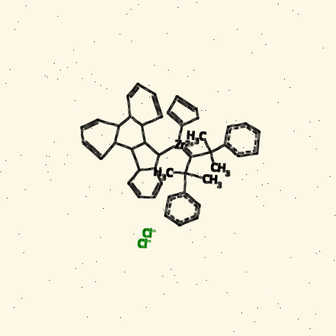 CC(C)([C](=[Zr+2]([C]1=CC=CC1)[CH]1C2C=CC=CC2C2C3C=CC=CC3C3C=CC=CC3C21)C(C)(C)c1ccccc1)c1ccccc1.[Cl-].[Cl-]